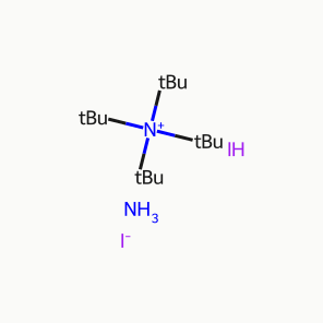 CC(C)(C)[N+](C(C)(C)C)(C(C)(C)C)C(C)(C)C.I.N.[I-]